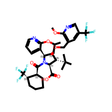 COc1ncc(C(F)(F)F)cc1CO[C@H]1[C@H](C(C)(C)C)[C@@H](C(=O)O)N(C(=O)[C@H]2CCCC[C@@H]2C(F)(F)F)[C@H]1c1cccnc1OC(C)C